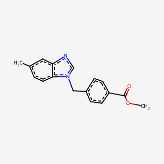 COC(=O)c1ccc(Cn2cnc3cc(C)ccc32)cc1